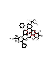 [2H]c1c([2H])c([2H])c(-c2cc(Nc3c(-c4ccccc4)cc(C(C)(C)C)cc3-c3ccccc3)cc(Nc3c(-c4ccccc4)cc(C(C)(C)C)cc3-c3ccccc3)c2)c([2H])c1[2H]